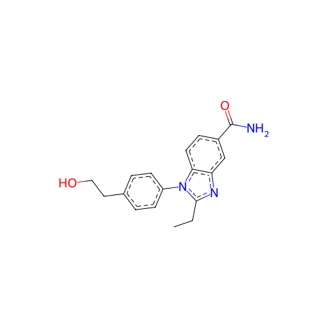 CCc1nc2cc(C(N)=O)ccc2n1-c1ccc(CCO)cc1